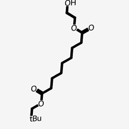 CC(C)(C)COC(=O)CCCCCCCC(=O)OCCO